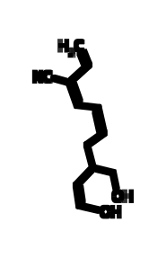 C=C/C(C#N)=C\C=C/CC(/C=C\O)CO